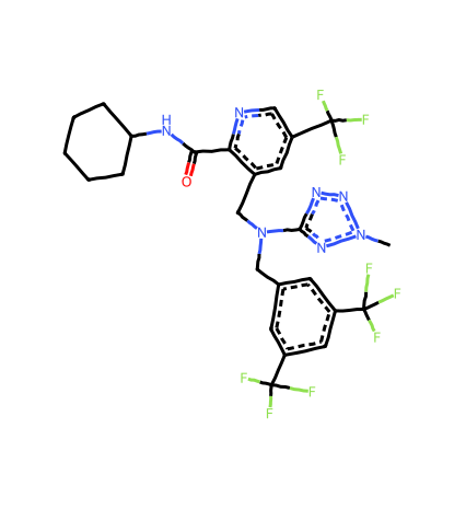 Cn1nnc(N(Cc2cc(C(F)(F)F)cc(C(F)(F)F)c2)Cc2cc(C(F)(F)F)cnc2C(=O)NC2CCCCC2)n1